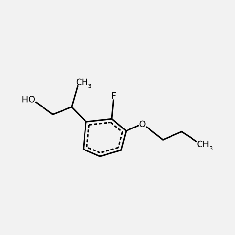 CCCOc1cccc([C](C)CO)c1F